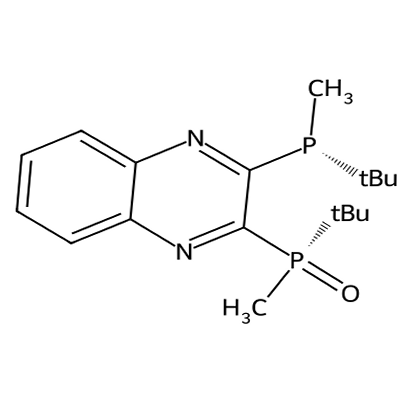 C[P@@](c1nc2ccccc2nc1[P@](C)(=O)C(C)(C)C)C(C)(C)C